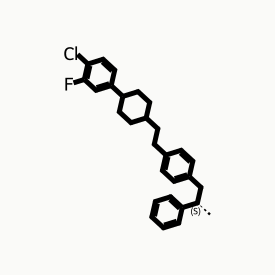 C[C@@H](Cc1ccc(CCC2CCC(c3ccc(Cl)c(F)c3)CC2)cc1)c1ccccc1